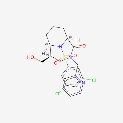 O=C1[C@@H]2CCC[C@H]([C@H](CO)CN1Cc1ccccn1)N2S(=O)(=O)c1cc(Cl)cc(Cl)c1